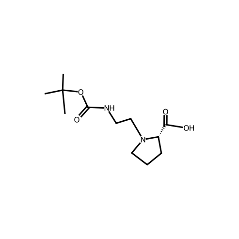 CC(C)(C)OC(=O)NCCN1CCC[C@H]1C(=O)O